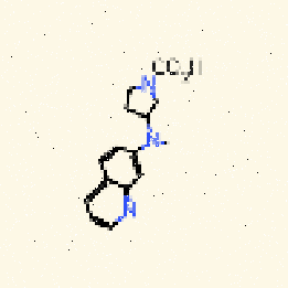 CN(c1ccc2cccnc2c1)C1CCN(C(=O)O)C1